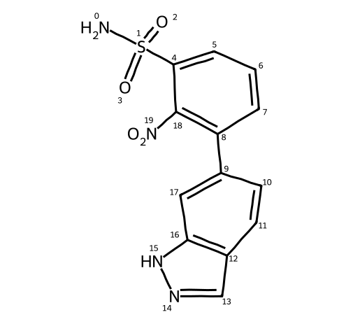 NS(=O)(=O)c1cccc(-c2ccc3cn[nH]c3c2)c1[N+](=O)[O-]